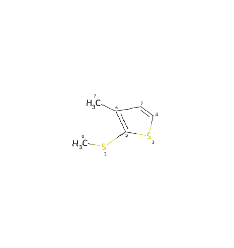 CSc1sccc1C